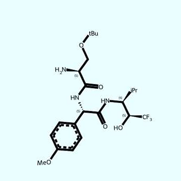 COc1ccc([C@H](NC(=O)[C@@H](N)COC(C)(C)C)C(=O)N[C@@H](C(C)C)[C@H](O)C(F)(F)F)cc1